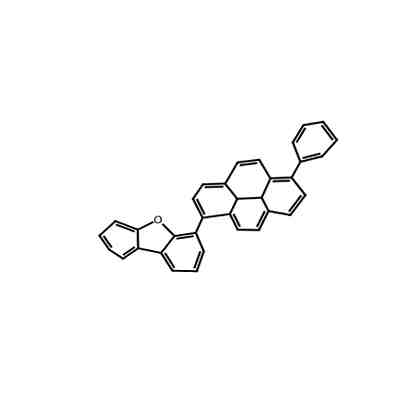 C1=CC2=C(c3ccccc3)C=CC3=CC=C4C(c5cccc6c5oc5ccccc56)=CC=C1C4C32